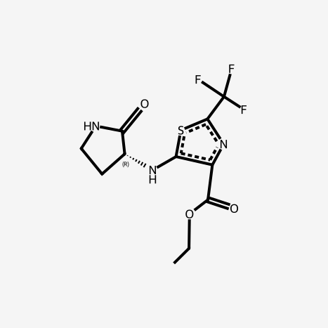 CCOC(=O)c1nc(C(F)(F)F)sc1N[C@@H]1CCNC1=O